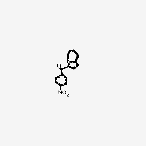 O=C(c1ccc([N+](=O)[O-])cc1)c1ccc2ccccn12